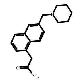 NC(=O)Cc1cccc2cc(CN3CCCCC3)ccc12